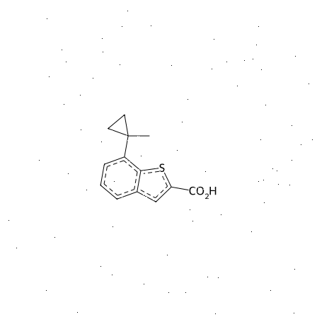 CC1(c2cccc3cc(C(=O)O)sc23)CC1